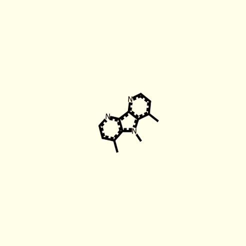 Cc1ccnc2c3nccc(C)c3n(C)c12